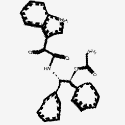 NC(=O)O[C@@H](c1ccccc1)[C@@H](NC(=O)C(=O)c1c[nH]c2ccccc12)c1ccccc1